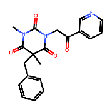 CN1C(=O)N(CC(=O)c2cccnc2)C(=O)C(C)(Cc2ccccc2)C1=O